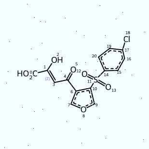 O=C(O)/C(O)=C/C(=O)c1cocc1S(=O)(=O)c1ccc(Cl)cc1